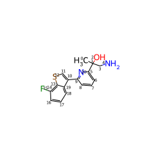 CC(O)(CN)c1cccc(-c2csc3c(F)cccc23)n1